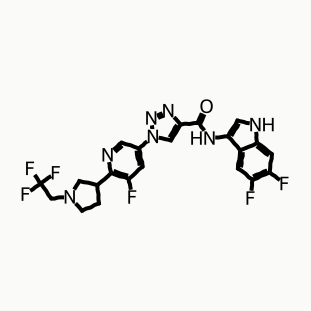 O=C(Nc1c[nH]c2cc(F)c(F)cc12)c1cn(-c2cnc(C3CCN(CC(F)(F)F)C3)c(F)c2)nn1